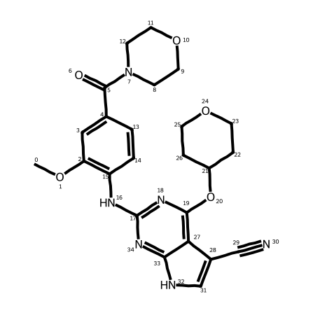 COc1cc(C(=O)N2CCOCC2)ccc1Nc1nc(OC2CCOCC2)c2c(C#N)c[nH]c2n1